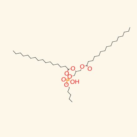 CCCCCCCCCCCCCCCC(=O)OCC(COP(=O)(O)OCCCCC)OC(=O)CCCCCCCCCCCCCCC